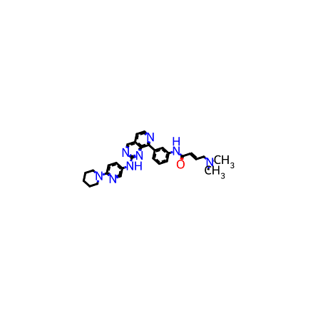 CN(C)CC=CC(=O)Nc1cccc(-c2nccc3cnc(Nc4ccc(N5CCCCC5)nc4)nc23)c1